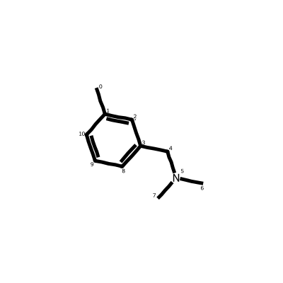 Cc1[c]c(CN(C)C)ccc1